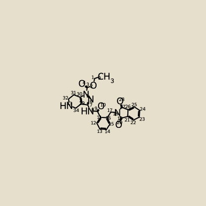 CCOC(=O)n1nc(NC(=O)c2ccccc2CN2C(=O)c3ccccc3C2=O)c2c1CCNC2